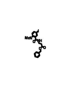 CNc1ccc(I)cc1C(=O)NCCC(=O)OCc1ccccc1